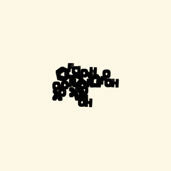 CC1(O)CN(c2nc(-c3c(F)cccc3OC(=O)OC(C)(C)C)c(Cl)c3c2C(=O)N2CCN(C(=O)O)C[C@@H]2CO3)C(C)(C)C1